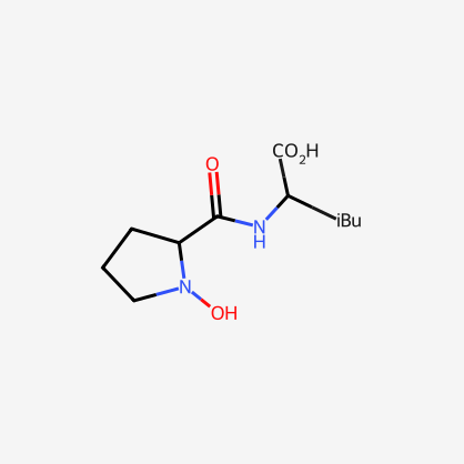 CCC(C)C(NC(=O)C1CCCN1O)C(=O)O